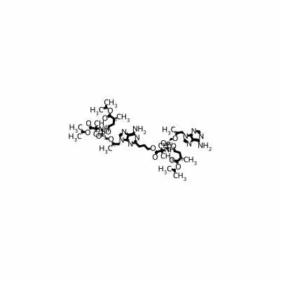 CC(C)OC(=O)[C@@H](C)CCO[P@@](=O)(CO[C@H](C)Cn1cnc2c(N)ncnc21)NC(C)(C)C(=O)OCCCc1nc(N)c2ncn(C[C@@H](C)OC[P@](=O)(NC(C)(C)C(=O)OC(C)C)OCC[C@H](C)C(=O)OC(C)C)c2n1